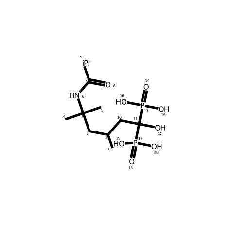 CC(CC(C)(C)NC(=O)C(C)C)CC(O)(P(=O)(O)O)P(=O)(O)O